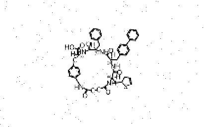 O=C1CCC(=O)N[C@H](CC2CC=CS2)C(=O)N[C@@H](Cc2ccc(-c3ccccc3)cc2)C(=O)N[C@@H](Cc2ccccc2)C(=O)N[C@@H](C(=O)O)Cc2ccc(cc2)N1